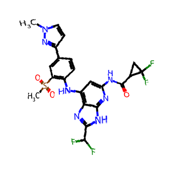 Cn1ccc(-c2ccc(Nc3cc(NC(=O)C4CC4(F)F)nc4[nH]c(C(F)F)nc34)c(S(C)(=O)=O)c2)n1